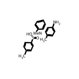 CNc1ccccc1.Cc1ccc(N)cc1.Cc1ccc(S(=O)O)cc1